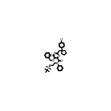 CC(C)(C)[Si](C)(C)OCCN(C(=O)c1nc(CC2(c3ccc(Cl)cc3)CCCC2)nc(O)c1OCc1ccccc1)c1ccccc1